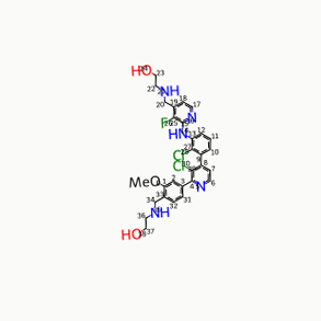 COc1cc(-c2nccc(-c3cccc(Nc4nccc(CNCCO)c4F)c3Cl)c2Cl)ccc1CNCCO